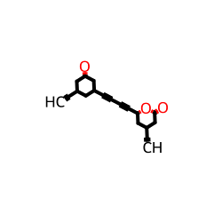 C#CC1CC(=O)CC(C#CC#CC2CC(C#C)CC(=O)O2)C1